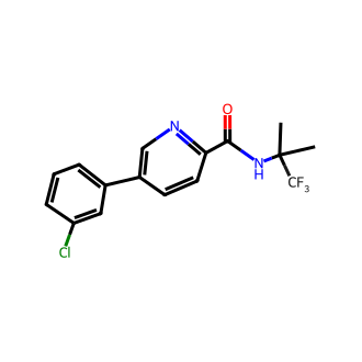 CC(C)(NC(=O)c1ccc(-c2cccc(Cl)c2)cn1)C(F)(F)F